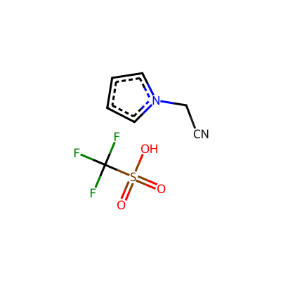 N#CCn1cccc1.O=S(=O)(O)C(F)(F)F